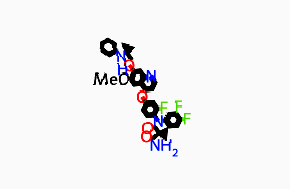 COc1cc2c(Oc3ccc(N(C(=O)C4(C(N)=O)CC4)c4ccc(F)c(F)c4)c(F)c3)ccnc2cc1OCC1(NC2CCCCC2)CC1